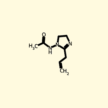 C=CCC1=NCCN1NC(C)=O